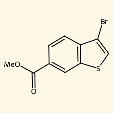 COC(=O)c1ccc2c(Br)csc2c1